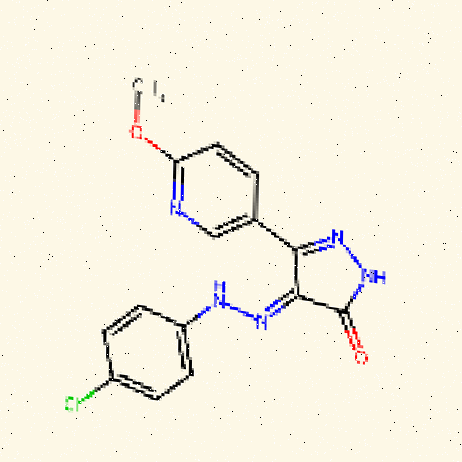 COc1ccc(C2=NNC(=O)/C2=N/Nc2ccc(Cl)cc2)cn1